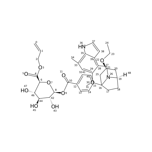 C=CCOC(=O)[C@H]1O[C@@H](OC(=O)c2ccc(C34CC[C@H](C[C@H](OCC)C3)N4Cc3c(OC)cc(C)c4[nH]ccc34)cc2)[C@H](O)[C@@H](O)[C@@H]1O